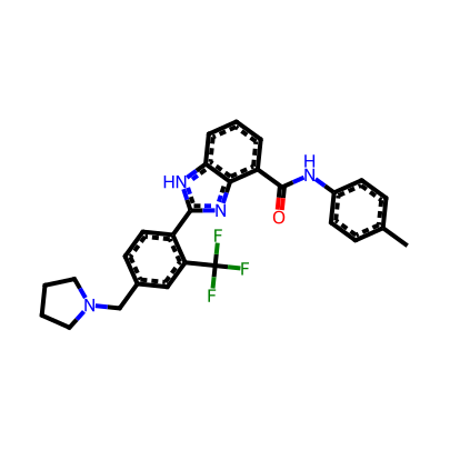 Cc1ccc(NC(=O)c2cccc3[nH]c(-c4ccc(CN5CCCC5)cc4C(F)(F)F)nc23)cc1